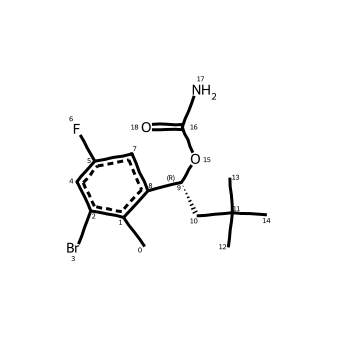 Cc1c(Br)cc(F)cc1[C@@H](CC(C)(C)C)OC(N)=O